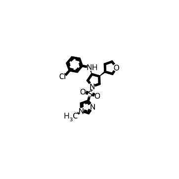 Cn1cnc(S(=O)(=O)N2C[C@H](Nc3cccc(Cl)c3)[C@@H](C3CCOC3)C2)c1